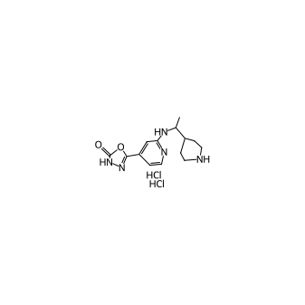 CC(Nc1cc(-c2n[nH]c(=O)o2)ccn1)C1CCNCC1.Cl.Cl